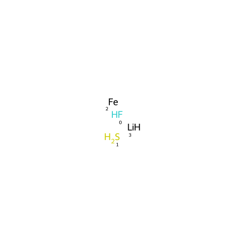 F.S.[Fe].[LiH]